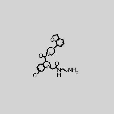 NCCNC(=O)CN1CC(C(=O)N2CCC(c3cccc4c3OCC4)CC2)c2ccc(Cl)cc21